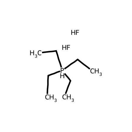 CC[PH](CC)(CC)CC.F.F